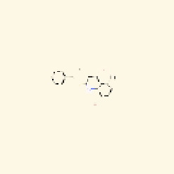 CCCc1ccc(Br)c2nc(SCc3ccccc3)c(C(C)=O)c(O)c12